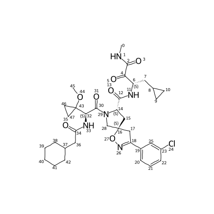 CNC(=O)C(=O)[C@H](CC1CC1)NC(=O)[C@@H]1C[C@]2(CC(c3cccc(Cl)c3)=NO2)CN1C(=O)[C@@H](NC(=O)CC1CCCCC1)C1(OC)CC1